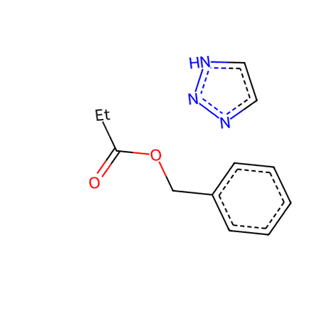 CCC(=O)OCc1ccccc1.c1c[nH]nn1